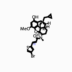 COc1cc(O)c2c3c1O[C@H]1[C@@H](N(C)C(=O)/C=C/c4cc(Br)cs4)CC[C@H]4[C@@H](C2)N(CC2CC2)CC[C@@]341